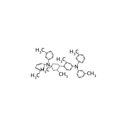 CC1=CC=CC(N(c2cccc(C)c2)C2(C)CCC(c3ccc(N(c4cccc(C)c4)c4cccc(C)c4)cc3C)C(C)C2)C1